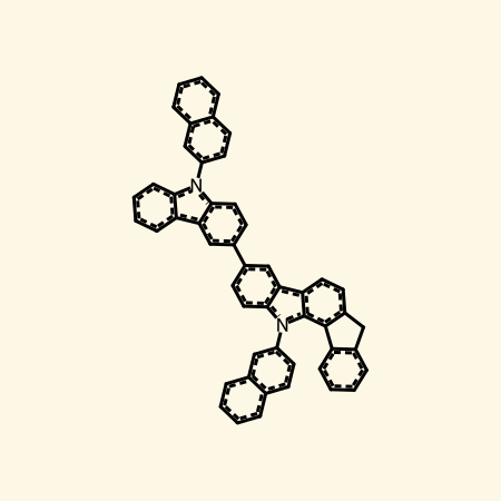 c1ccc2c(c1)Cc1ccc3c4cc(-c5ccc6c(c5)c5ccccc5n6-c5ccc6ccccc6c5)ccc4n(-c4ccc5ccccc5c4)c3c1-2